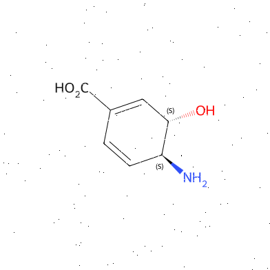 N[C@H]1C=CC(C(=O)O)=C[C@@H]1O